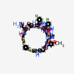 COc1ccc(C[C@H]2NC(=O)[C@@H](Cc3c[nH]cn3)NC(=O)[C@@H](CC(=O)O)NC(=O)[C@@H](Cc3c[nH]c4ccc(F)cc34)NC(=O)[C@@H](Cc3c[nH]c4ccc(F)cc34)NC(=O)[C@H](C(C)(C)C)NC(=O)[C@@H](CCCCN)NC(=O)CCSCc3cccc(c3)CSCCNC[C@@]3(C)CCCN3C2=O)cc1